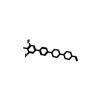 C=CC1CCC(C2CCC(c3ccc(-c4cc(F)c(C)c(F)c4)cc3)CC2)CC1